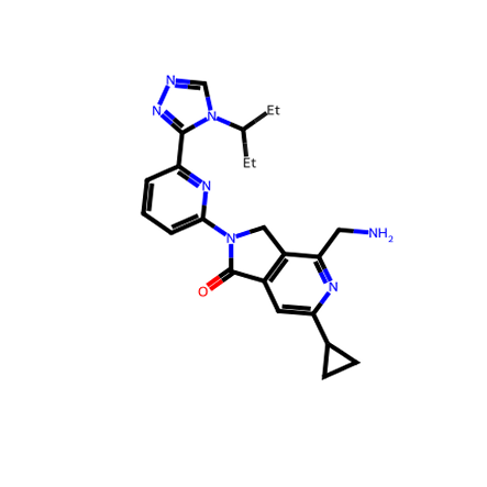 CCC(CC)n1cnnc1-c1cccc(N2Cc3c(cc(C4CC4)nc3CN)C2=O)n1